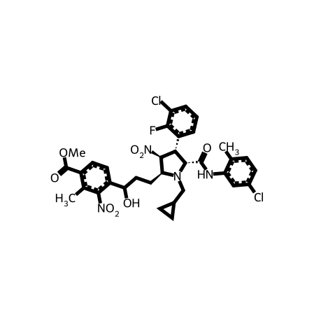 COC(=O)c1ccc(C(O)CC[C@H]2[C@@H]([N+](=O)[O-])[C@H](c3cccc(Cl)c3F)[C@H](C(=O)Nc3cc(Cl)ccc3C)N2CC2CC2)c([N+](=O)[O-])c1C